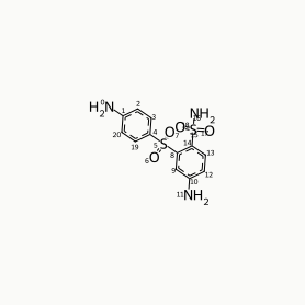 Nc1ccc(S(=O)(=O)c2cc(N)ccc2S(N)(=O)=O)cc1